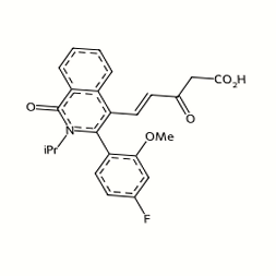 COc1cc(F)ccc1-c1c(C=CC(=O)CC(=O)O)c2ccccc2c(=O)n1C(C)C